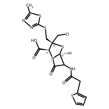 Cc1nnc(SC[C@@]2(CCl)S[C@H]3C(NC(=O)Cc4cccs4)C(=O)N3[C@H]2C(=O)O)s1